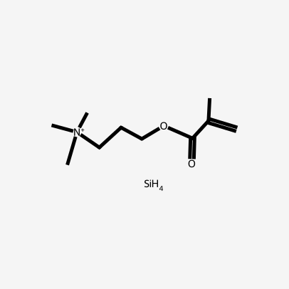 C=C(C)C(=O)OCCC[N+](C)(C)C.[SiH4]